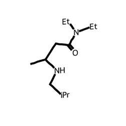 CCN(CC)C(=O)CC(C)NCC(C)C